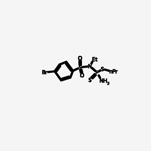 CCCSP(N)(=S)N(CC)S(=O)(=O)c1ccc(Br)cc1